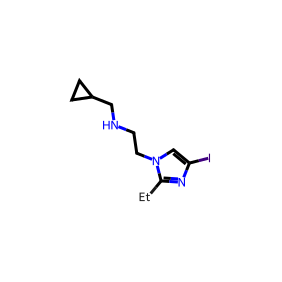 CCc1nc(I)cn1CCNCC1CC1